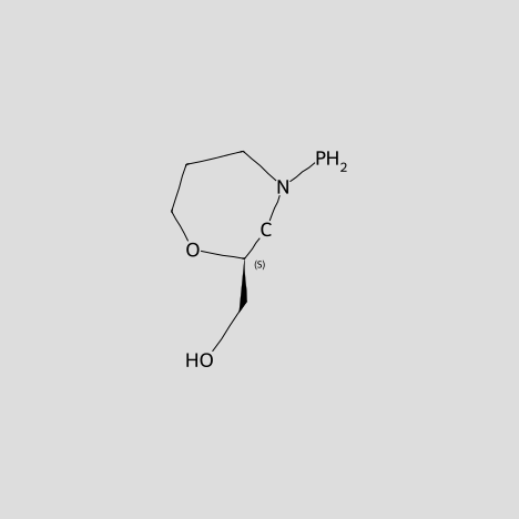 OC[C@@H]1CN(P)CCCO1